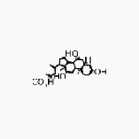 CC(C[C@H](C)C(=O)O)C1CCC2C3C(CC(O)[C@]12C)[C@@]1(C)CC[C@@H](O)C[C@H]1C[C@H]3O